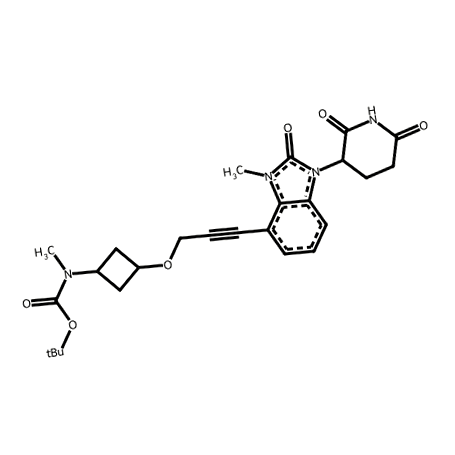 CN(C(=O)OC(C)(C)C)C1CC(OCC#Cc2cccc3c2n(C)c(=O)n3C2CCC(=O)NC2=O)C1